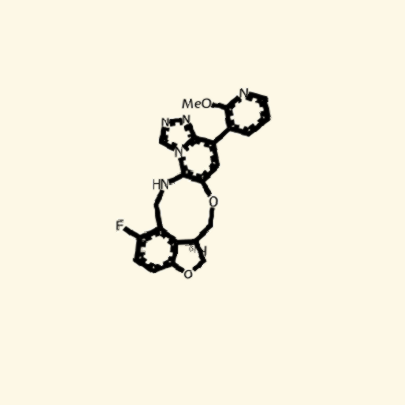 COc1ncccc1-c1cc2c(n3cnnc13)NCc1c(F)ccc3c1[C@@H](CO3)CO2